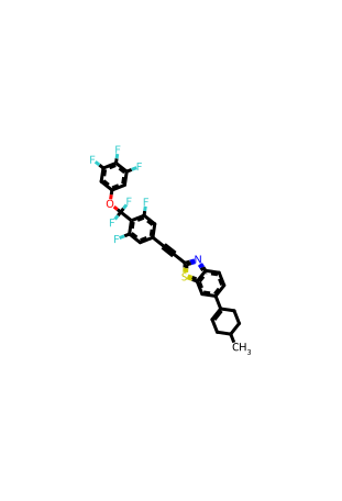 CC1CC=C(c2ccc3nc(C#Cc4cc(F)c(C(F)(F)Oc5cc(F)c(F)c(F)c5)c(F)c4)sc3c2)CC1